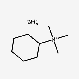 C[N+](C)(C)C1CCCCC1.[BH4-]